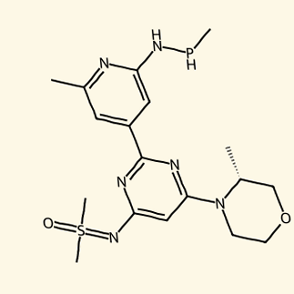 CPNc1cc(-c2nc(N=S(C)(C)=O)cc(N3CCOC[C@H]3C)n2)cc(C)n1